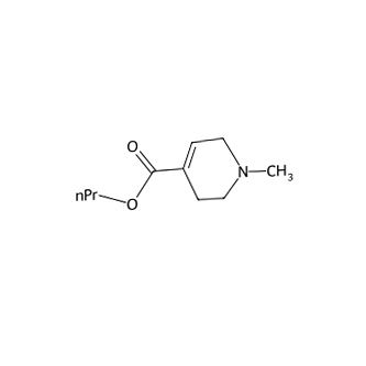 CCCOC(=O)C1=CCN(C)CC1